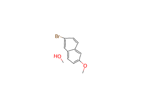 CO.COc1ccc2cc(Br)ccc2c1